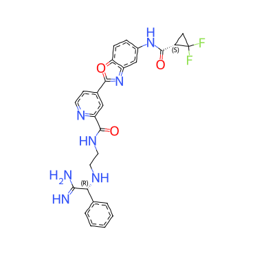 N=C(N)[C@H](NCCNC(=O)c1cc(-c2nc3cc(NC(=O)[C@@H]4CC4(F)F)ccc3o2)ccn1)c1ccccc1